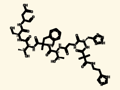 C[C@@H](O)[C@H](NC(=O)CNC(=O)[C@H](Cc1nn[nH]n1)NC(=O)C(C)(C)C(=O)NCCc1cnc[nH]1)C(=O)NC(C)(Cc1ccccc1F)C(=O)N[C@H](C(=O)N[C@@H](CO)C(=O)NC(C=O)CC(=O)O)[C@@H](C)O